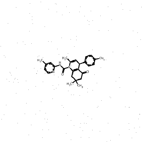 CC1=[C]C(c2ccc(C)cc2)C2=C(CC(C)(C)CC2=O)N1C(=O)Nc1cc(C)ccn1